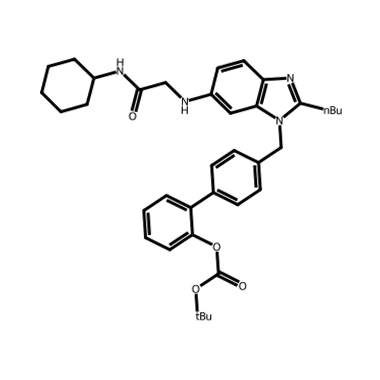 CCCCc1nc2ccc(NCC(=O)NC3CCCCC3)cc2n1Cc1ccc(-c2ccccc2OC(=O)OC(C)(C)C)cc1